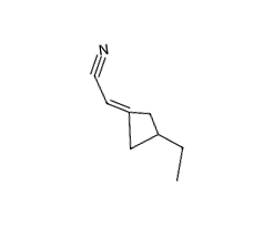 CCC1CC(=CC#N)C1